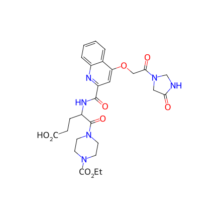 CCOC(=O)N1CCN(C(=O)C(CCC(=O)O)NC(=O)c2cc(OCC(=O)N3CNC(=O)C3)c3ccccc3n2)CC1